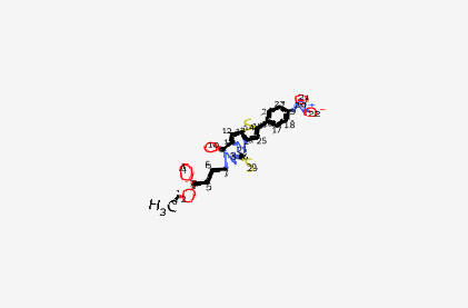 CCOC(=O)CCCN1C(=O)c2cc3sc(-c4ccc([N+](=O)[O-])cc4)cc3n2C1=S